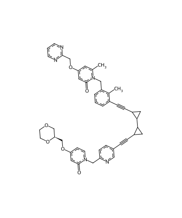 Cc1c(C#CC2CC2C2CC2C#Cc2ccc(Cn3ccc(OC[C@@H]4COCCO4)cc3=O)nc2)cccc1Cn1c(C)cc(OCc2ncccn2)cc1=O